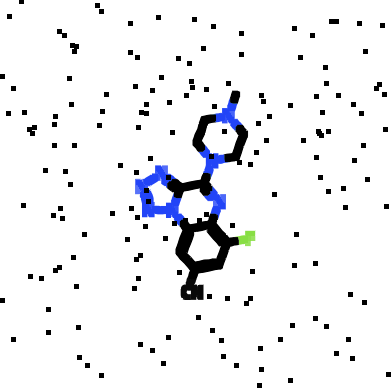 CN1CCN(c2nc3c(F)cc(C#N)cc3n3nnnc23)CC1